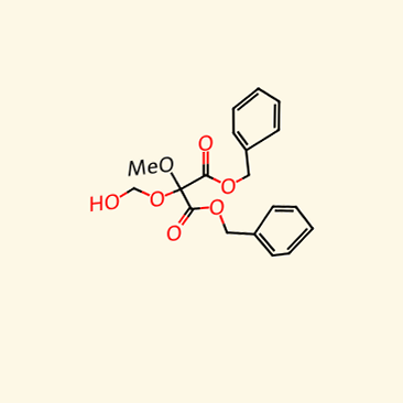 COC(OCO)(C(=O)OCc1ccccc1)C(=O)OCc1ccccc1